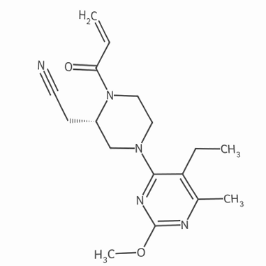 C=CC(=O)N1CCN(c2nc(OC)nc(C)c2CC)C[C@@H]1CC#N